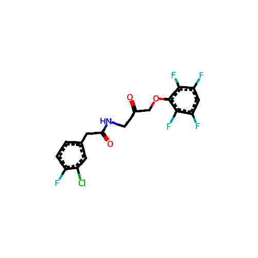 O=C(CNC(=O)Cc1ccc(F)c(Cl)c1)COc1c(F)c(F)cc(F)c1F